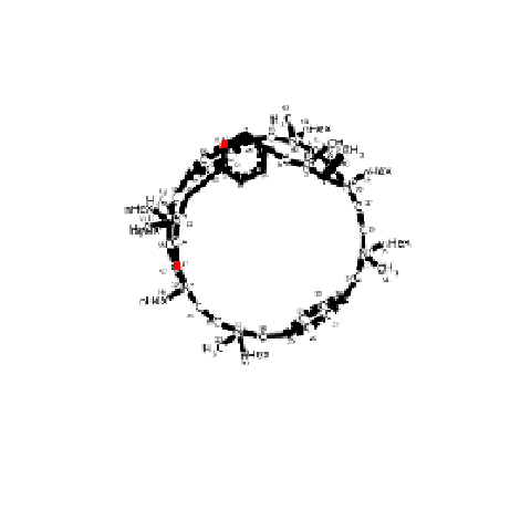 C=C1[N+](C)(CCCCCC)Cc2ccc(cc2)C[N+](C)(CCCCCC)CC[N+]2(CCCCCC)CC[N+](C)(CCCCCC)Cc3ccc(cc3)C[N+](C)(CCCCCC)CC[N+]1(CCCCCC)CC[N+](C)(CCCCCC)Cc1ccc(cc1)C[N+](C)(CCCCCC)CC2